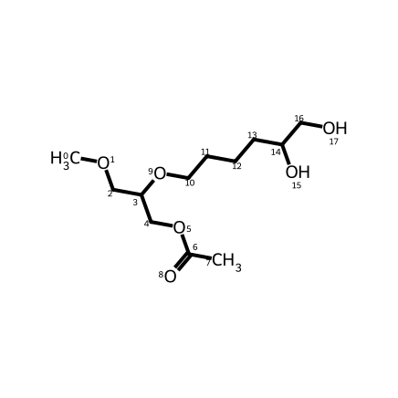 COCC(COC(C)=O)OCCCCC(O)CO